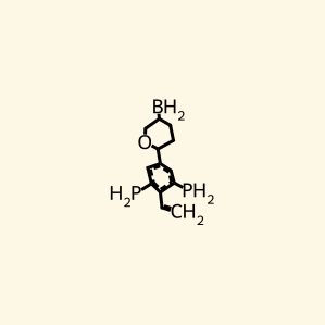 BC1CCC(c2cc(P)c(C=C)c(P)c2)OC1